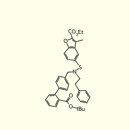 CCOC(=O)c1oc2ccc(SN(CCc3ccccc3)Cc3ccc(-c4ccccc4C(=O)OC(C)(C)C)cc3)cc2c1C